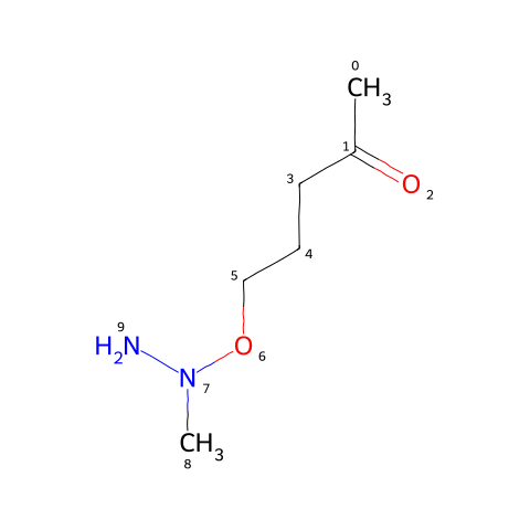 CC(=O)CCCON(C)N